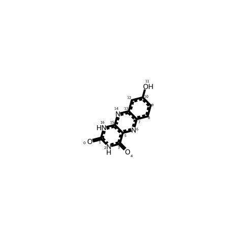 O=c1[nH]c(=O)c2nc3ccc(O)cc3nc2[nH]1